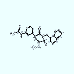 COc1nn(-c2cccc(NC(C)=O)c2)c(=O)n(Cc2cccc3cccnc23)c1=O